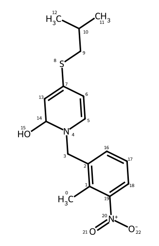 Cc1c(CN2C=CC(SCC(C)C)=CC2O)cccc1[N+](=O)[O-]